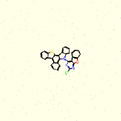 Clc1nc(-n2c3ccccc3c3c4sc5ccccc5c4c4ccccc4c32)c2c3c(oc2n1)CCC=C3